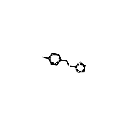 Fc1ccc(CSc2nccs2)cc1